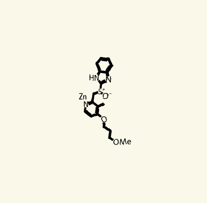 COCCCOc1ccnc(C[S+]([O-])c2nc3ccccc3[nH]2)c1C.[Zn]